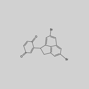 O=C1C=CC(=O)C(C2Cc3cc(Br)cc4cc(Br)cc2c34)=C1